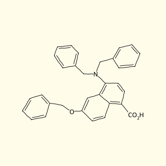 O=C(O)c1ccc(N(Cc2ccccc2)Cc2ccccc2)c2cc(OCc3ccccc3)ccc12